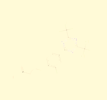 O=C(O)C=CSc1ccc(-c2nc(C(Cl)(Cl)Cl)nc(C(Cl)(Cl)Cl)n2)cc1Cl